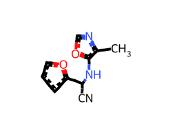 Cc1ncoc1NC(C#N)c1ccco1